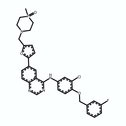 CP1(=O)CCN(Cc2ccc(-c3ccc4ncnc(Nc5ccc(OCc6cccc(F)c6)c(Cl)c5)c4c3)o2)CC1